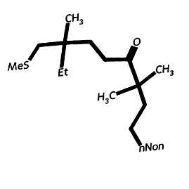 CCCCCCCCCCCC(C)(C)C(=O)CCC(C)(CC)CSC